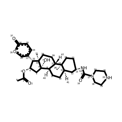 CC(=O)O[C@H]1C[C@]2(O)[C@@H]3CC[C@@H]4C[C@@H](NC(=O)N5CCNCC5)CC[C@]4(C)[C@H]3CC[C@]2(C)[C@H]1c1ccc(=O)oc1